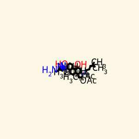 CC(=O)O[C@H]1C[C@@]2(C)[C@@H](C[C@@H](O)[C@H]3[C@@]4(C)CC[C@@H](O)[C@](C)(n5cc(CN)nn5)[C@@H]4CC[C@@]32C)/C1=C(\CCC=C(C)C)C(C)=O